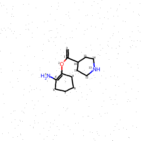 C=C(OC1=C(N)CCCC1)C1CCNCC1